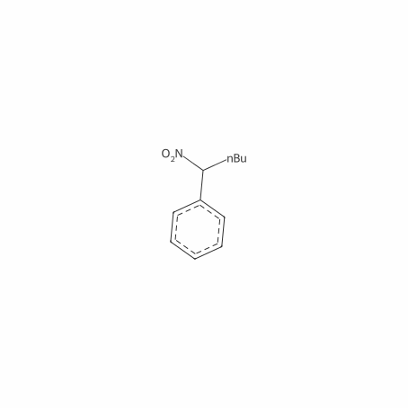 CCCCC(c1ccccc1)[N+](=O)[O-]